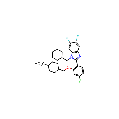 O=C(O)C1CCC(COc2cc(Cl)ccc2-c2nc3cc(F)c(F)cc3n2CC2CCCCC2)CC1